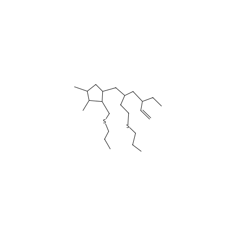 C=CC(CC)CC(CCSCCC)CC1CC(C)C(C)C1CSCCC